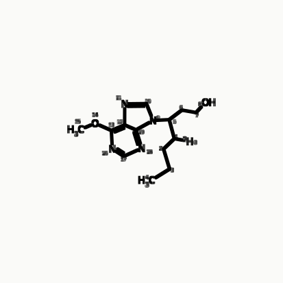 [2H]C(CCC)C(CCO)n1cnc2c(OC)ncnc21